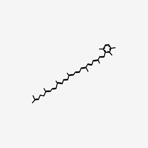 CC(C)=CCC/C(C)=C/C=C/C(C)=C/C=C/C(C)=C/C=C/C=C(C)/C=C/C=C(C)/C=C/c1c(C)ccc(C)c1C